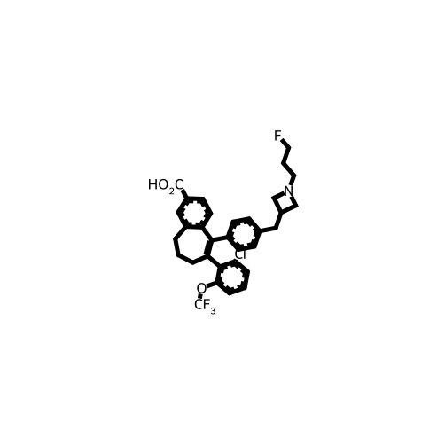 O=C(O)c1ccc2c(c1)CCCC(c1c(Cl)cccc1OC(F)(F)F)=C2c1ccc(CC2CN(CCCF)C2)cc1